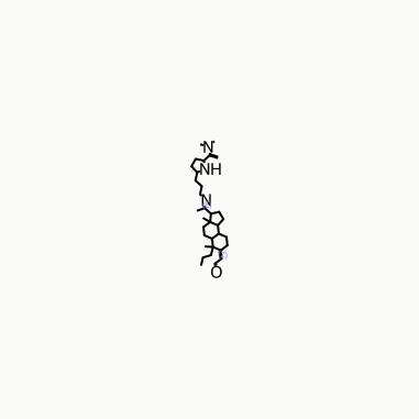 C=C(C1CCC(CCC/N=C(\C)C2CCC3C4CC/C(=C/C=O)C(C)(CCC)C4CCC23C)N1)N(C)C